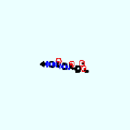 CCOc1ccc(CC(=O)N2CCN(CC(=O)N3CCN(C4CCC4)CC3)CC2)cc1OC